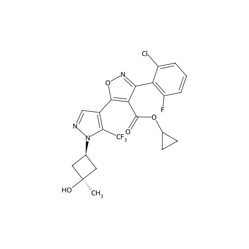 C[C@]1(O)C[C@@H](n2ncc(-c3onc(-c4c(F)cccc4Cl)c3C(=O)OC3CC3)c2C(F)(F)F)C1